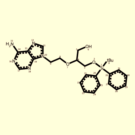 CC(C)(C)[Si](OCC(CO)OCCn1cnc2c(N)ncnc21)(c1ccccc1)c1ccccc1